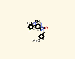 COc1ccc(CN2CC3(CCC(c4cccc(F)c4)(N(C)C)CC3)NC2=O)cc1